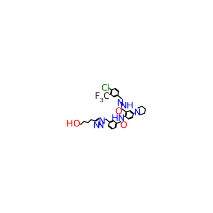 O=C(Nc1ccc(N2CCCCC2)cc1C(=O)NN=Cc1ccc(Cl)c(C(F)(F)F)c1)c1cccc(Cn2cc(CCCCO)nn2)c1